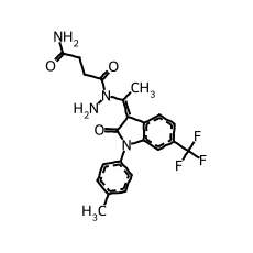 C/C(=C1/C(=O)N(c2ccc(C)cc2)c2cc(C(F)(F)F)ccc21)N(N)C(=O)CCC(N)=O